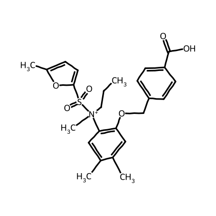 CCC[N+](C)(c1cc(C)c(C)cc1OCc1ccc(C(=O)O)cc1)S(=O)(=O)c1ccc(C)o1